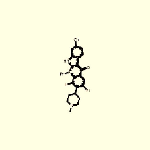 CCc1cc2c(=O)c3c4ccc(C#N)cc4[nH]c3n(C(C)C)c2c(F)c1C1CCN(C)CC1